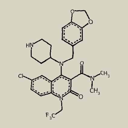 CN(C)C(=O)c1c(N(Cc2ccc3c(c2)OCO3)C2CCNCC2)c2cc(Cl)ccc2n(CC(F)(F)F)c1=O